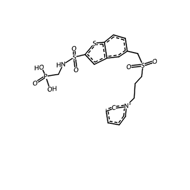 O=P(O)(O)CNS(=O)(=O)c1cc2cc(CS(=O)(=O)CCC[n+]3ccccc3)ccc2s1